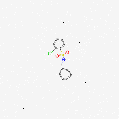 O=S(=O)([N]Cc1ccccc1)c1ccccc1Cl